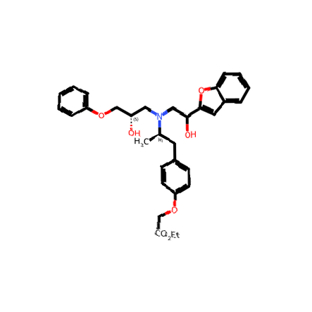 CCOC(=O)COc1ccc(C[C@@H](C)N(CC(O)c2cc3ccccc3o2)C[C@H](O)COc2ccccc2)cc1